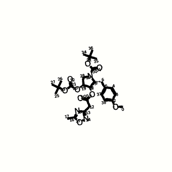 COc1ccc(C[C@@H]2[C@H](OC(=O)Cc3noc(C)n3)[C@@H](OC(=O)OC(C)(C)C)CN2C(=O)OC(C)(C)C)cc1